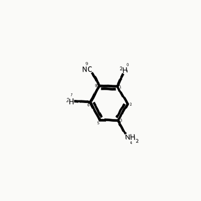 [2H]c1cc(N)cc([2H])c1C#N